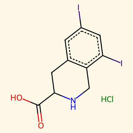 Cl.O=C(O)C1Cc2cc(I)cc(I)c2CN1